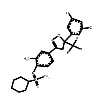 Cc1cc(C2=NOC(c3cc(Cl)cc(Cl)c3)(C(F)(F)F)C2)ccc1N=S(C)(=O)C1CCCCC1